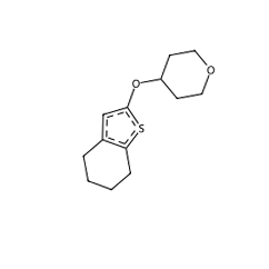 c1c(OC2CCOCC2)sc2c1CCCC2